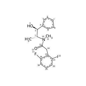 C[C@H]([C@@H](O)c1ccccc1)N(C)C(=O)Cc1c(F)cccc1I